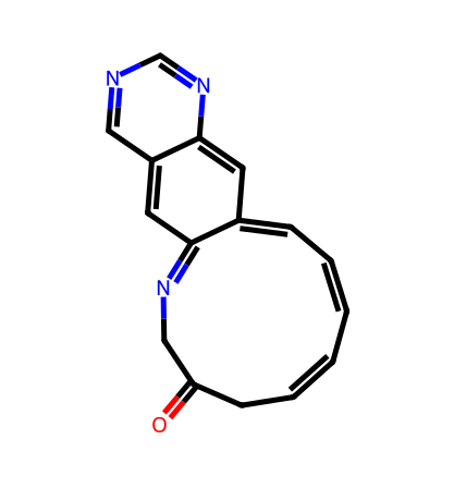 O=C1CC=CC=CC=c2cc3ncncc3cc2=NC1